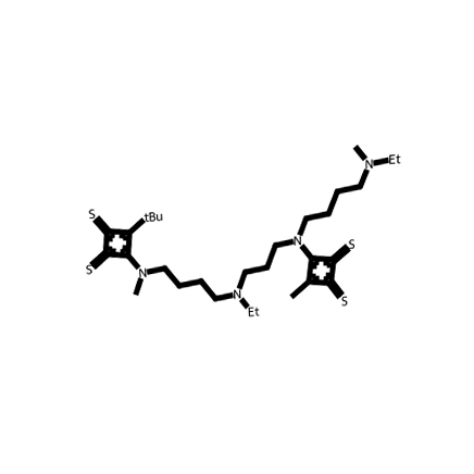 CCN(C)CCCCN(CCCN(CC)CCCCN(C)c1c(C(C)(C)C)c(=S)c1=S)c1c(C)c(=S)c1=S